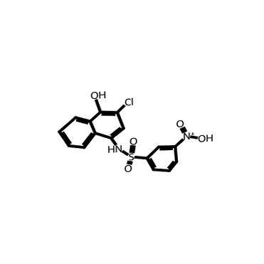 O=[N+](O)c1cccc(S(=O)(=O)Nc2cc(Cl)c(O)c3ccccc23)c1